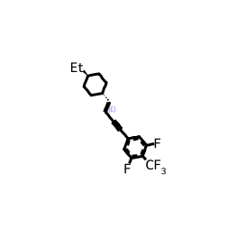 CC[C@H]1CC[C@H](/C=C/C#Cc2cc(F)c(C(F)(F)F)c(F)c2)CC1